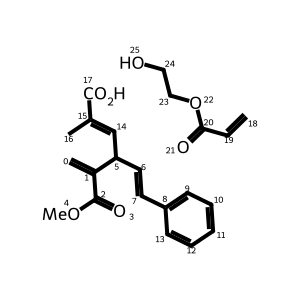 C=C(C(=O)OC)C(C=Cc1ccccc1)C=C(C)C(=O)O.C=CC(=O)OCCO